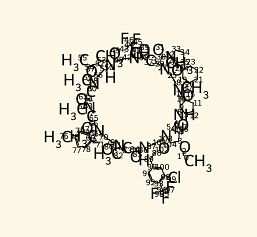 CCO[C@@H]1C[C@H]2C(=O)NC3(CCCC3)C(=O)N(C)[C@@H](C3CCCCC3)C(=O)N(C)[C@H](C(=O)N3CCCC3)CC(=O)N(C)[C@@H](CC(F)(F)F)C(=O)N[C@@H]([C@@H](C)CC)C(=O)N(C)CC(=O)N(C)CC(=O)N(C)[C@@H](Cc3ccc(C)cc3)C(=O)N(C)CC(=O)N[C@@H](CCc3ccc(C(F)(F)F)c(Cl)c3)C(=O)N2C1